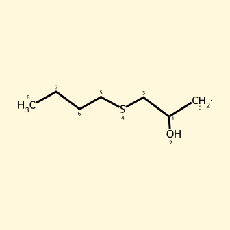 [CH2]C(O)CSCCCC